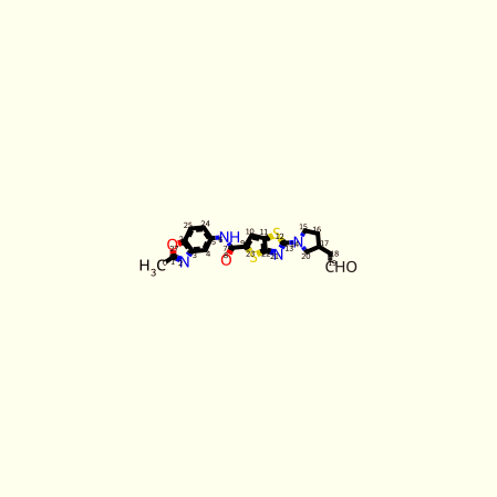 Cc1nc2cc(NC(=O)c3cc4sc(N5CCC(CC=O)C5)nc4s3)ccc2o1